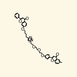 Cc1ccc2oc(-c3ccc(OCCOCCOCCn4cc(CCCCOc5ccc6c(=O)cc(-c7ccccc7)oc6c5)nn4)cc3)cc(=O)c2c1